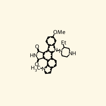 CCC1CNCCN1n1c2cc(OC)ccc2c2c3c(c4c(ccc5ccn(C)c54)c21)C(=O)NC3=O